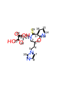 CN1CC(CCn2ccnc2)Oc2ncccc2C1=S.O=C(O)C(=O)O